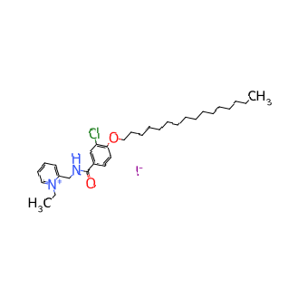 CCCCCCCCCCCCCCCCOc1ccc(C(=O)NCc2cccc[n+]2CC)cc1Cl.[I-]